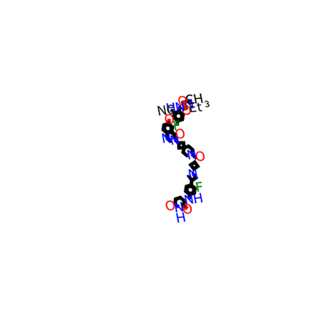 CCN(C)S(=O)(=O)Nc1ccc(F)c(Oc2ccc3ncn(C4CC5(CCN(C(=O)[C@H]6C[C@H](N7CC(c8ccc(NC9CCC(=O)NC9=O)cc8F)C7)C6)CC5)C4)c(=O)c3c2)c1C#N